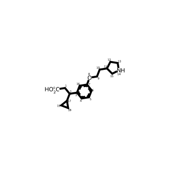 O=C(O)CC(c1cccc(OCCC2CCNC2)c1)C1CC1